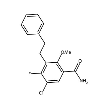 COc1c(C(N)=O)cc(Cl)c(F)c1CCc1ccccc1